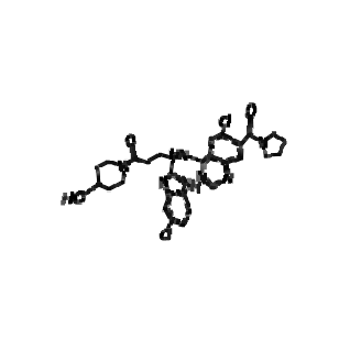 O=C(CCC(Nc1ncnc2cc(C(=O)N3CCCC3)c(Cl)cc12)c1nc2cc(Cl)ccc2[nH]1)N1CCC(O)CC1